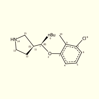 CCCC[C@@H](Oc1cccc(Cl)c1C)[C@H]1CCNC1